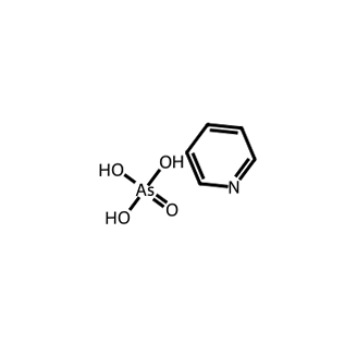 O=[As](O)(O)O.c1ccncc1